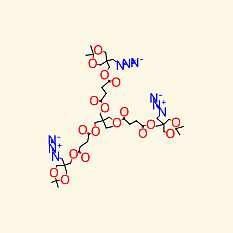 CCC(COC(=O)CCC(=O)OCC1(CN=[N+]=[N-])COC(C)(C)OC1)(COC(=O)CCC(=O)OCC1(CN=[N+]=[N-])COC(C)(C)OC1)COC(=O)CCC(=O)OCC1(CN=[N+]=[N-])COC(C)(C)OC1